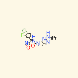 CC(C)Nc1ncc2c(n1)CN(C(=O)N[C@H](c1ccc(Cl)c(F)c1)c1cocn1)CC2